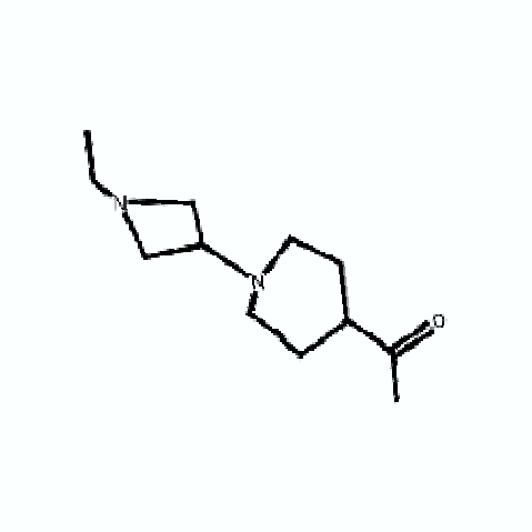 CCN1CC(N2CCC(C(C)=O)CC2)C1